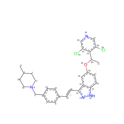 CC1CCN(Cc2ccc(/C=C/c3n[nH]c4ccc(OC(C)c5c(Cl)cncc5Cl)cc34)cc2)CC1